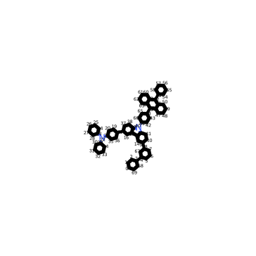 c1ccc(-c2cccc(-c3ccc4c(c3)c3cc(-c5ccc(N(c6ccccc6)c6ccccc6)cc5)ccc3n4-c3ccc(-c4c5ccccc5c(-c5ccccc5)c5ccccc45)cc3)c2)cc1